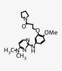 COc1ccc(Nc2nccc(N(C)C)n2)cc1OCCC(=O)N1CCCC1